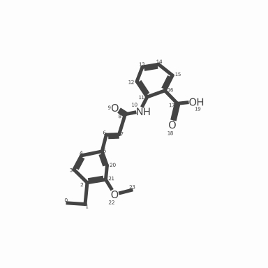 CCc1ccc(/C=C/C(=O)Nc2ccccc2C(=O)O)cc1OC